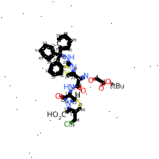 CC(C)(C)OC(=O)CO/N=C(\C(=O)NC1C(=O)N2C(C(=O)O)=C(CCl)CS[C@H]12)c1csc(NC(c2ccccc2)(c2ccccc2)c2ccccc2)n1